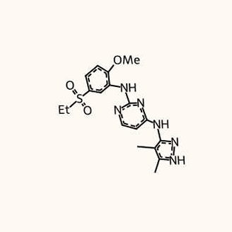 CCS(=O)(=O)c1ccc(OC)c(Nc2nccc(Nc3n[nH]c(C)c3C)n2)c1